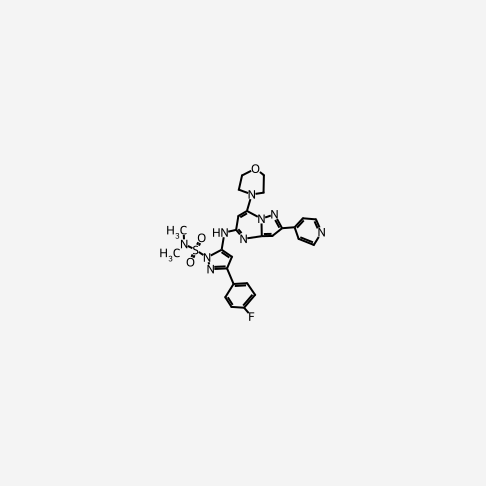 CN(C)S(=O)(=O)n1nc(-c2ccc(F)cc2)cc1Nc1cc(N2CCOCC2)n2nc(-c3ccncc3)cc2n1